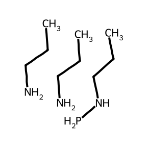 CCCN.CCCN.CCCNP